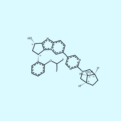 O=C(O)[C@H]1[C@@H]2CC[C@H]1CN(c1ncc(-c3ccc4nc5c(n4c3)[C@H](c3ccccc3OC(F)F)C[C@@H]5O)cn1)C2